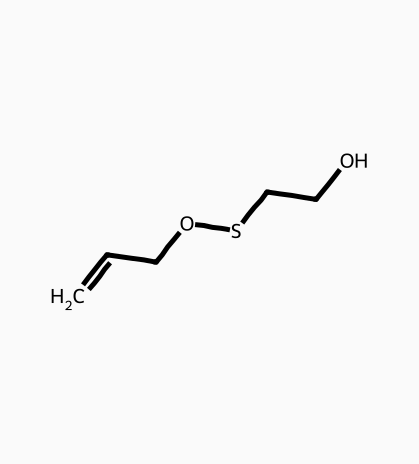 C=CCOSCCO